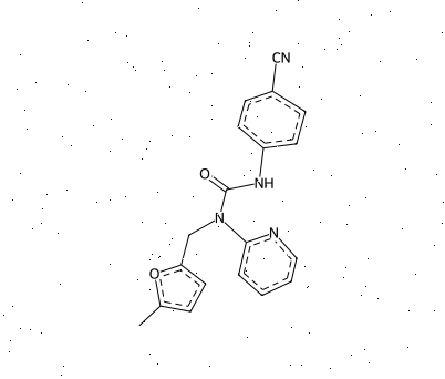 Cc1ccc(CN(C(=O)Nc2ccc(C#N)cc2)c2ccccn2)o1